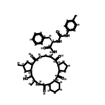 Cc1ccc(NC(=O)N[C@@H](Cc2ccccc2)C(=O)N[C@H]2COC(=O)C3C[C@H](C)CN3C(O)[C@H](C)NC(=O)C3CCCCN3C(=O)C3CCCN3C2=O)cc1